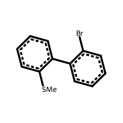 CSc1ccccc1-c1ccccc1Br